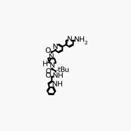 CC(C)(C)[C@H](NC(=O)c1cc2ccccc2[nH]1)C(=O)N1CC2C[C@H]1CN2C(=O)c1ccc(-c2ccc(N)nc2)cn1